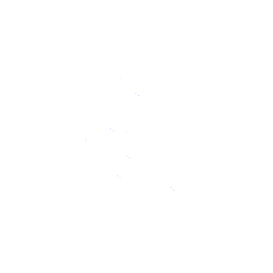 CC(=O)N1CCCC(C(=O)N[C@@H](C)c2nc(-c3ccnc(C)c3)no2)C1